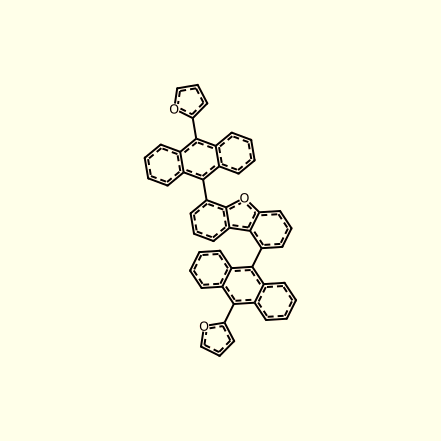 c1coc(-c2c3ccccc3c(-c3cccc4c3oc3cccc(-c5c6ccccc6c(-c6ccco6)c6ccccc56)c34)c3ccccc23)c1